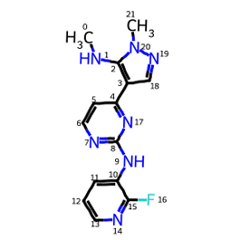 CNc1c(-c2ccnc(Nc3cccnc3F)n2)cnn1C